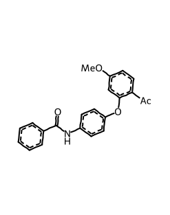 COc1ccc(C(C)=O)c(Oc2ccc(NC(=O)c3ccccc3)cc2)c1